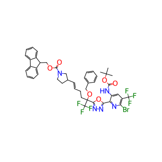 CC(C)(C)OC(=O)Nc1cc(C(F)(F)F)c(Br)nc1-c1nnc(C(CCC=CC2CCN(C(=O)OCC3c4ccccc4-c4ccccc43)C2)(OCc2ccccc2)C(F)(F)F)o1